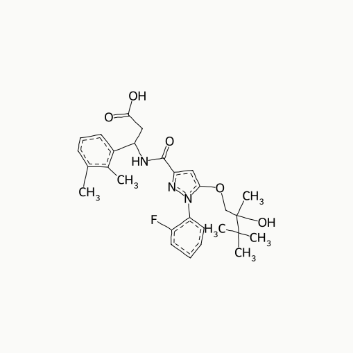 Cc1cccc(C(CC(=O)O)NC(=O)c2cc(OCC(C)(O)C(C)(C)C)n(-c3ccccc3F)n2)c1C